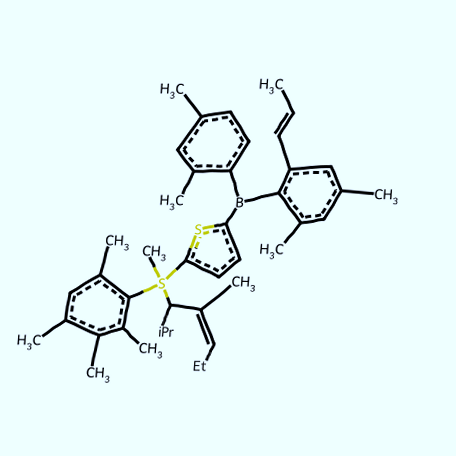 CC=Cc1cc(C)cc(C)c1B(c1ccc(S(C)(c2c(C)cc(C)c(C)c2C)C(/C(C)=C\CC)C(C)C)s1)c1ccc(C)cc1C